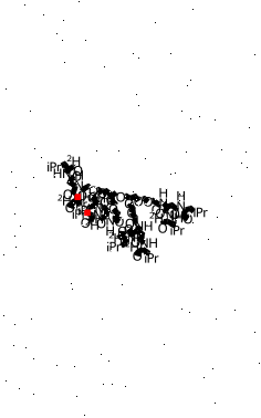 [2H]C(=O)C(CC(C)C)NC(=O)CC(NC(=O)COCOCC(COCC(COCOCC(=O)NC(CC(=O)NC(CC(C)C)C([2H])=O)C(=O)NC(CC(C)C)C([2H])=O)OCOCC(=O)NC(CC(=O)NC(CC(C)C)C([2H])=O)C(=O)NC(CC(C)C)C([2H])=O)OCOCC(=O)NC(CC(=O)NC(CC(C)C)C([2H])=O)C(=O)NC(CC(C)C)C([2H])=O)C(=O)NC(CC(C)C)C([2H])=O